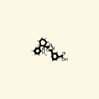 NC1(c2nnc(-c3cccc(C(=O)O)c3)o2)CCCCC1c1ccccc1